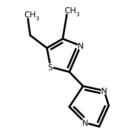 CCc1sc(-c2cnccn2)nc1C